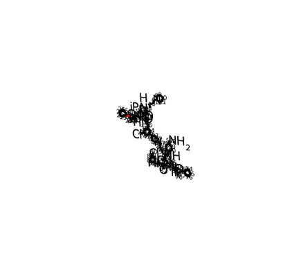 CC(C)N[C@H](CCCCN1CCCCC1)C(=O)N1CCN(C2=N[C@@H](C)C(c3ccccc3)O2)C[C@H]1C(=O)NCc1cc(Cl)cc(C2CCN(CCCC[C@@H](NC3CCC(CN)CC3)C(=O)N3CCN(C4=N[C@@H](C)C(c5ccccc5)O4)C[C@H]3C(=O)NCc3cccc(Cl)c3)CC2)c1